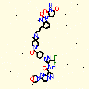 C[C@@H]1CN(c2ccn3ncc(C(=O)Nc4cn([C@H]5CC[C@H](C(=O)N6CCC7(CC6)CN(CCCc6cccc8c6n(C)c(=O)n8C6CCC(=O)NC6=O)C7)CC5)nc4C(F)F)c3n2)C[C@H](C)O1